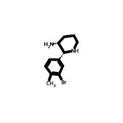 Cc1ccc([C@H]2NCCC[C@H]2N)cc1Br